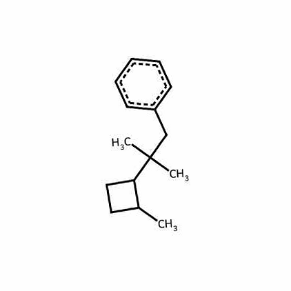 CC1CCC1C(C)(C)Cc1ccccc1